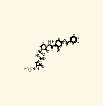 O=C(O)N[C@H]1CN(C(=O)NS(=O)(=O)N2CCN(NC(=O)C3=C(Br)CC(OC(=O)c4ccccc4)=CN3)C2=O)C1=O